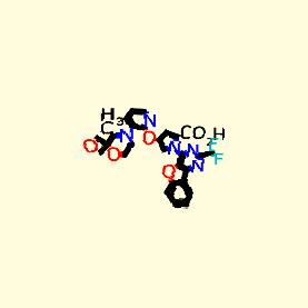 C[C@@H]1N(c2cccnc2O[C@H]2C[C@@H](C(=O)O)N(c3nc(C(F)F)nc4c3oc3ccccc34)C2)CCOC12COC2